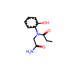 CCC(=O)N(CC(N)=O)c1ccccc1O